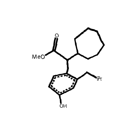 COC(=O)C(c1ccc(O)cc1CC(C)C)C1CCCCCC1